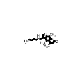 Cc1c2oc(=O)cc(C)c2c(C)c2c(CNCCCCN)coc12